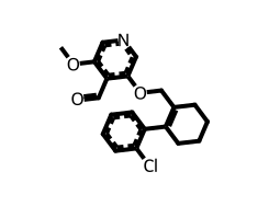 COc1cncc(OCC2=C(c3ccccc3Cl)CCCC2)c1C=O